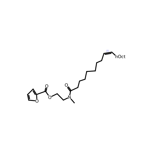 CCCCCCCC/C=C\CCCCCCCC(=O)N(C)CCOC(=O)c1ccco1